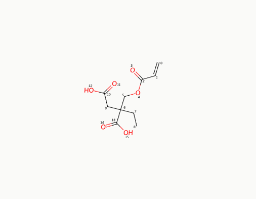 C=CC(=O)OCC(CC)(CC(=O)O)C(=O)O